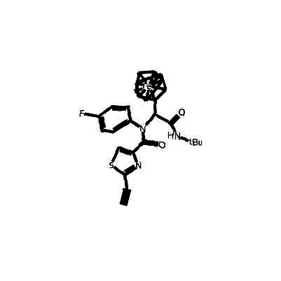 C#Cc1nc(C(=O)N(c2ccc(F)cc2)C(C(=O)NC(C)(C)C)[C]23[CH]4[CH]5[CH]6[CH]2[Fe]56432789[CH]3[CH]2[CH]7[CH]8[CH]39)cs1